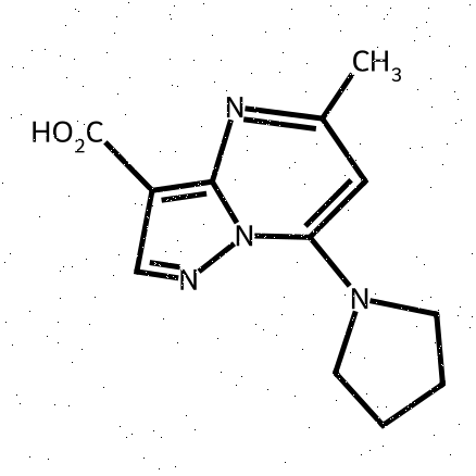 Cc1cc(N2CCCC2)n2ncc(C(=O)O)c2n1